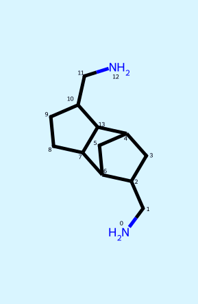 NCC1CC2CC1C1CCC(CN)C21